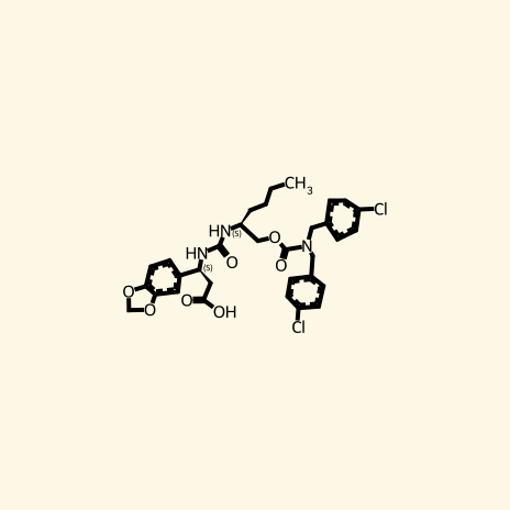 CCCC[C@@H](COC(=O)N(Cc1ccc(Cl)cc1)Cc1ccc(Cl)cc1)NC(=O)N[C@@H](CC(=O)O)c1ccc2c(c1)OCO2